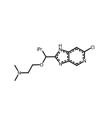 CC(C)C(OCCN(C)C)c1nc2cnc(Cl)cc2[nH]1